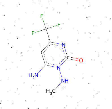 CNn1c(N)cc(C(F)(F)F)nc1=O